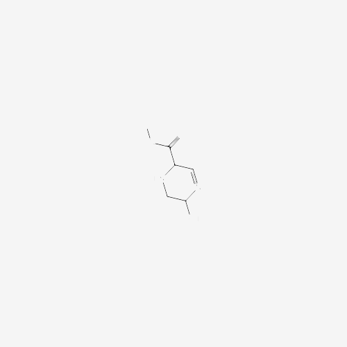 CCOC(=O)C1C=NC(C)CN1